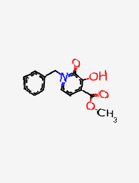 COC(=O)c1ccn(Cc2ccccc2)c(=O)c1O